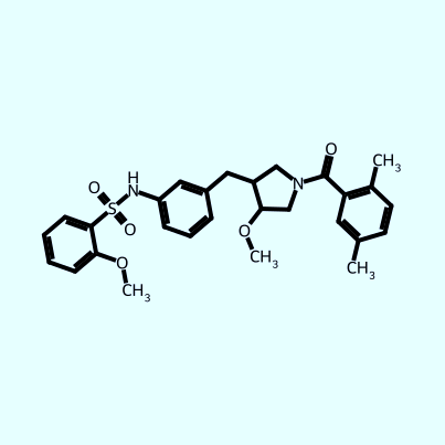 COc1ccccc1S(=O)(=O)Nc1cccc(CC2CN(C(=O)c3cc(C)ccc3C)CC2OC)c1